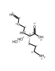 Cl.Cl.N=COCN[C@@H](CCCN)C(=O)O